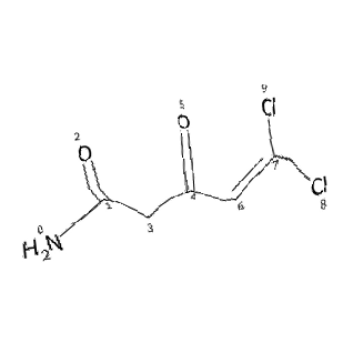 NC(=O)CC(=O)C=C(Cl)Cl